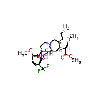 CCC[C@@H]1CN2CC[C@@]34OCCO[C@@]3(Nc3c(C(F)(F)F)ccc(OC)c34)[C@@H]2C[C@@H]1/C(=C\OC)C(=O)OC